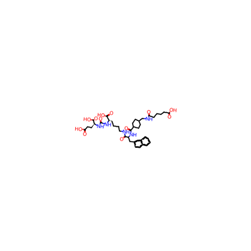 O=C(O)CCCCC(=O)NCC1CCC(C(=O)NC(Cc2ccc3ccccc3c2)C(=O)NCCCC[C@H](NC(=O)N[C@@H](CCC(=O)O)C(=O)O)C(=O)O)CC1